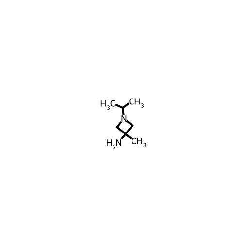 CC(C)N1CC(C)(N)C1